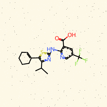 CC(C)c1nc(Nc2ncc(C(F)(F)F)cc2C(=O)O)sc1C1=CCCCC1